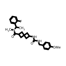 COc1ccc(CNC(=O)NC2CC3(C2)CC(C(=O)N(C)C(C)c2ccccc2F)C3)cc1